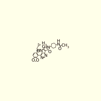 CC(=O)NC1CCC(NC(=O)c2c(C)[nH]c3c(-c4c(OCC5CC5)ccc5c4OCO5)ncnc23)CC1